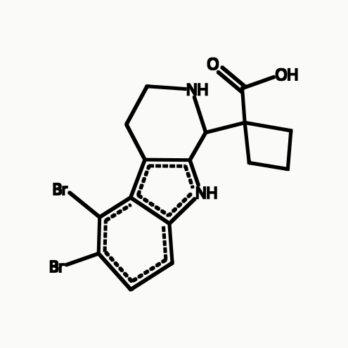 O=C(O)C1(C2NCCc3c2[nH]c2ccc(Br)c(Br)c32)CCC1